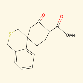 COC(=O)C1CCC2(CSCc3ccccc32)CC1=O